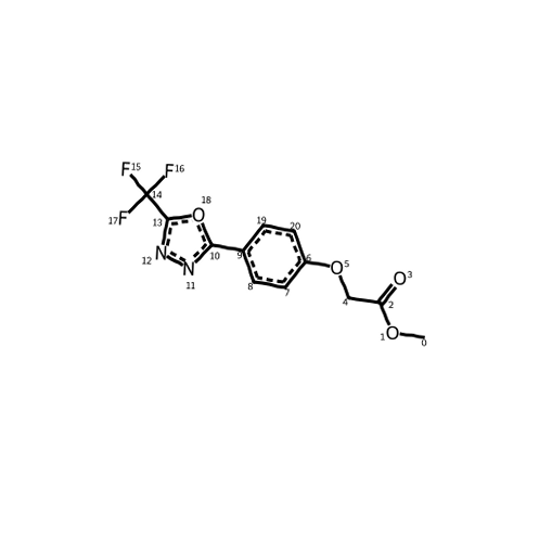 COC(=O)COc1ccc(-c2nnc(C(F)(F)F)o2)cc1